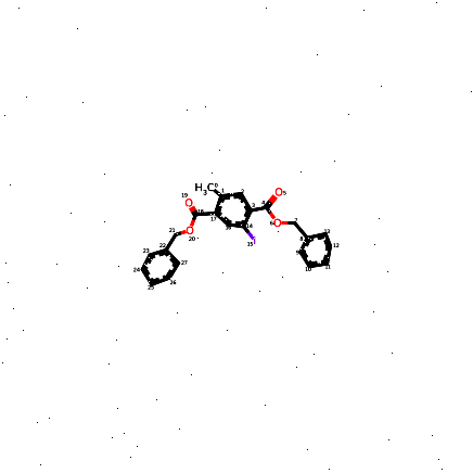 Cc1cc(C(=O)OCc2ccccc2)c(I)cc1C(=O)OCc1ccccc1